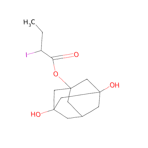 CCC(I)C(=O)OC12CC3CC(O)(CC(O)(C3)C1)C2